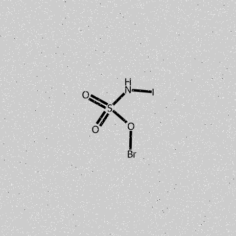 O=S(=O)(NI)OBr